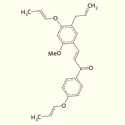 C=CCc1cc(C=CC(=O)c2ccc(OC=CC)cc2)c(OC)cc1OC=CC